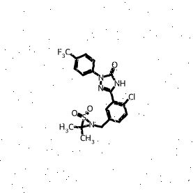 CC1(C)N(Cc2ccc(Cl)c(-c3nn(-c4ccc(C(F)(F)F)cc4)c(=O)[nH]3)c2)S1(=O)=O